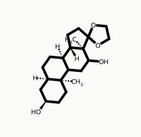 C[C@]12C(O)CC3[C@@H](CC[C@@H]4C[C@H](O)CC[C@]34C)[C@@H]1CCC21OCCO1